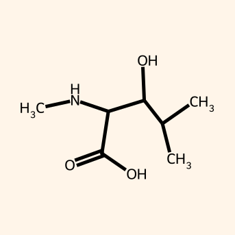 CNC(C(=O)O)C(O)C(C)C